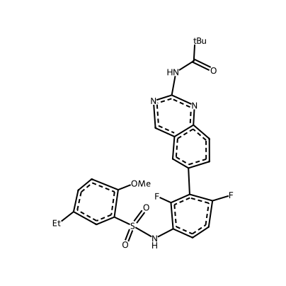 CCc1ccc(OC)c(S(=O)(=O)Nc2ccc(F)c(-c3ccc4nc(NC(=O)C(C)(C)C)ncc4c3)c2F)c1